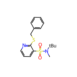 CN(C(C)(C)C)S(=O)(=O)c1cccnc1SCc1ccccc1